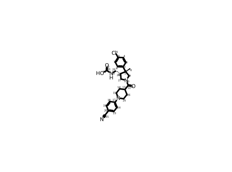 C[C@@]1(c2ccc(Cl)cc2)CN(C(=O)C2CCN(c3ccc(C#N)cc3)CC2)C[C@@H]1CNC(=O)O